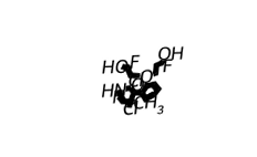 CC1(Cl)C=NNC(Cl)C1C1C=CC=CC1(OCCC(O)F)OCCC(O)F